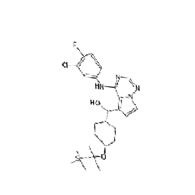 CC(C)(O[C@H]1CC[C@H](C(O)c2ccn3ncnc(Nc4ccc(F)c(Cl)c4)c23)CC1)[Si](C)(C)C